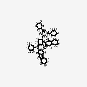 c1ccc(-c2nc(-c3ccccc3)nc(-c3ccc(N(c4ccccc4)c4ccc5c(c4)oc4ccccc45)c4oc5cc6ccccc6cc5c34)n2)cc1